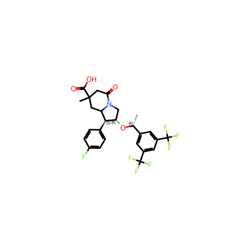 C[C@@H](O[C@H]1CN2C(=O)CC(C)(C(=O)O)CC2[C@@H]1c1ccc(F)cc1)c1cc(C(F)(F)F)cc(C(F)(F)F)c1